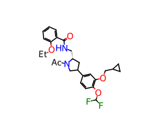 CCOc1ccccc1C(=O)NC[C@@H]1CC(c2ccc(OC(F)F)c(OCC3CC3)c2)CN1C(C)=O